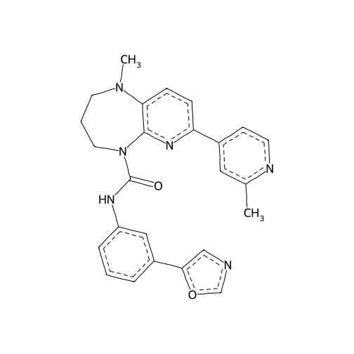 Cc1cc(-c2ccc3c(n2)N(C(=O)Nc2cccc(-c4cnco4)c2)CCCN3C)ccn1